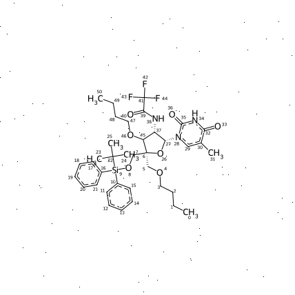 CCCCOC[C@@]1(CO[Si](c2ccccc2)(c2ccccc2)C(C)(C)C)O[C@@H](n2cc(C)c(=O)[nH]c2=O)[C@@H](NC(=O)C(F)(F)F)C1OCCCC